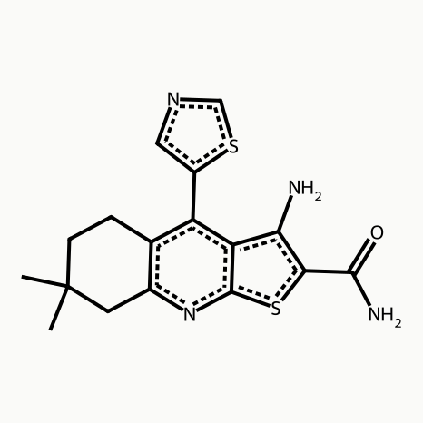 CC1(C)CCc2c(nc3sc(C(N)=O)c(N)c3c2-c2cncs2)C1